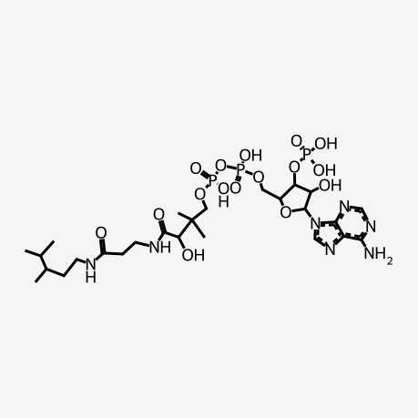 CC(C)C(C)CCNC(=O)CCNC(=O)C(O)C(C)(C)COP(=O)(O)OP(=O)(O)OCC1OC(n2cnc3c(N)ncnc32)C(O)C1OP(=O)(O)O